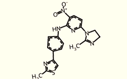 CC1=NCCN1c1ccc([N+](=O)[O-])c(Nc2ccc(-c3csc(C)n3)cc2)n1